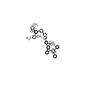 CC1=CC(c2cc(C3=CC(C4=CC5SC(c6ccc7c(c6)C(C)(C)c6cc8c(cc6-7)c6ccccc6n8-c6nc(-c7ccccc7)nc(-c7ccccc7)n6)=CC5C=C4)=CCC3)cc(C3=CC(C)CC=C3C)c2)C(C)C=C1